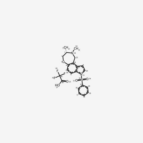 C[C@H]1COc2ccc3c(ccn3S(=O)(=O)c3ccccc3)c2CN1C.O=C(O)C(F)(F)F